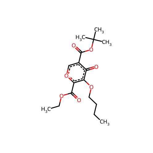 CCCCOc1c(C(=O)OCC)occ(C(=O)OC(C)(C)C)c1=O